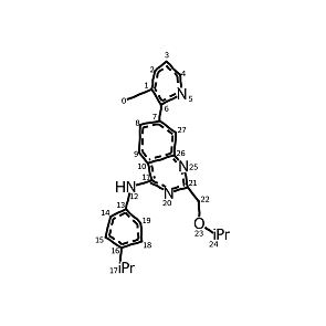 Cc1cccnc1-c1ccc2c(Nc3ccc(C(C)C)cc3)nc(COC(C)C)nc2c1